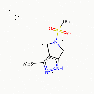 CSc1n[nH]c2c1CN(S(=O)(=O)C(C)(C)C)C2